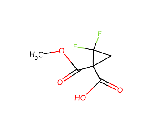 COC(=O)C1(C(=O)O)CC1(F)F